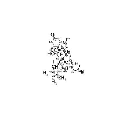 C[C@@H]1C[C@H]2[C@@H]3C[C@H](F)C4=CC(=O)C=C[C@]4(C)[C@@]3(F)C(O)C[C@]2(C)[C@@]1(OC(=O)C1C(C)(C)C1(C)C)C(=O)SCC#N